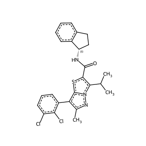 Cc1nn2c(C(C)C)c(C(=O)N[C@H]3CCc4ccccc43)sc2c1-c1cccc(Cl)c1Cl